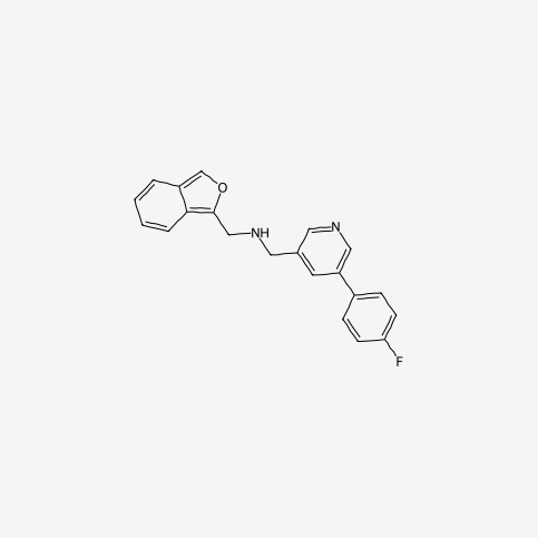 Fc1ccc(-c2cncc(CNCc3occ4ccccc34)c2)cc1